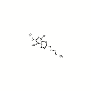 CCCCCc1ccc2c(c1)C(=O)C=C(CC)C2=O